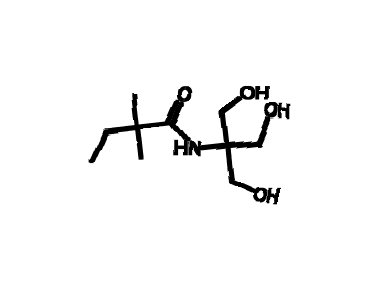 CCC(C)(C)C(=O)NC(CO)(CO)CO